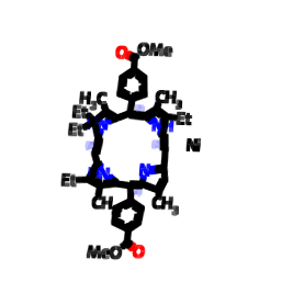 CCc1c2[nH]c(c1C)/C(c1ccc(C(=O)OC)cc1)=C1N=C(C=C\1C)/C=c1\[nH]/c(c(C)c1CC)=C(/c1ccc(C(=O)OC)cc1)C1=C(C)C(CC)(CC)/C(=C/2)N1.[Ni]